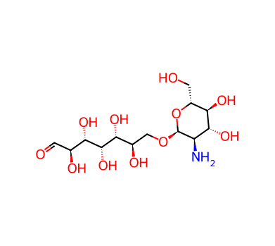 N[C@H]1[C@@H](OC[C@@H](O)[C@@H](O)[C@H](O)[C@@H](O)[C@@H](O)C=O)O[C@H](CO)[C@@H](O)[C@@H]1O